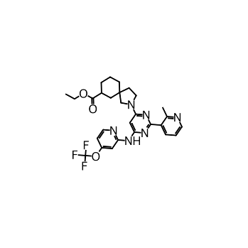 CCOC(=O)C1CCCC2(CCN(c3cc(Nc4cc(OC(F)(F)F)ccn4)nc(-c4cccnc4C)n3)C2)C1